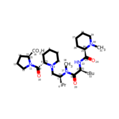 CC(C)[C@@H](CN1CCCC[C@H]1C(=O)N1CCC[C@H]1C(=O)O)N(C)C(=O)[C@@H](NC(=O)[C@H]1CCCCN1C)C(C)(C)C